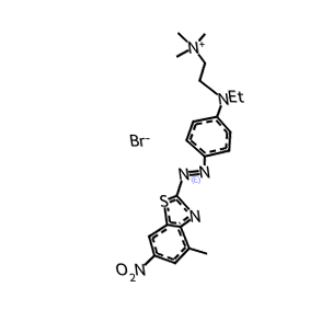 CCN(CC[N+](C)(C)C)c1ccc(/N=N/c2nc3c(C)cc([N+](=O)[O-])cc3s2)cc1.[Br-]